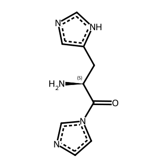 N[C@@H](Cc1cnc[nH]1)C(=O)n1ccnc1